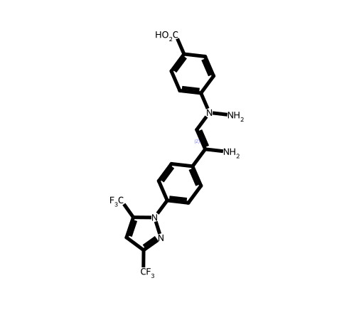 N/C(=C\N(N)c1ccc(C(=O)O)cc1)c1ccc(-n2nc(C(F)(F)F)cc2C(F)(F)F)cc1